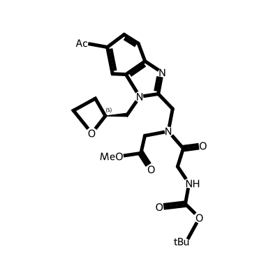 COC(=O)CN(Cc1nc2ccc(C(C)=O)cc2n1C[C@@H]1CCO1)C(=O)CNC(=O)OC(C)(C)C